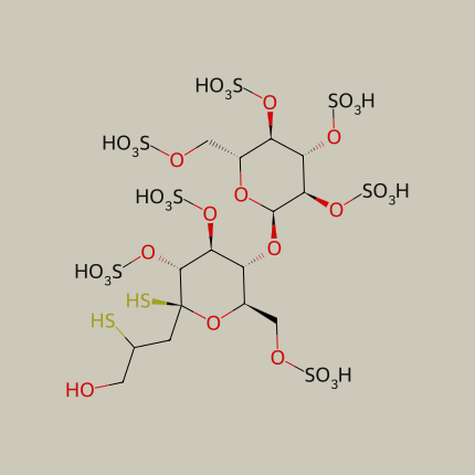 O=S(=O)(O)OC[C@H]1O[C@H](O[C@H]2[C@H](OS(=O)(=O)O)[C@@H](OS(=O)(=O)O)[C@@](S)(CC(S)CO)O[C@@H]2COS(=O)(=O)O)[C@H](OS(=O)(=O)O)[C@@H](OS(=O)(=O)O)[C@@H]1OS(=O)(=O)O